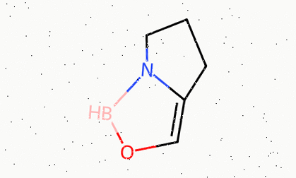 B1OC=C2CCCN12